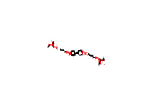 CCC1(COCCCCCCOc2ccc(-c3ccc(OCCCCCCOCC4(CC)OC4C)cc3)cc2)OC1C